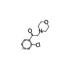 O=C(CN1CCOCC1)c1cc[c]cc1Cl